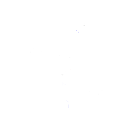 CC(=O)NC(C)Cc1ccccc1Oc1cc(C)ccc1CCC(=O)N1CCNCC1Cc1ccccc1